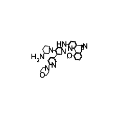 COc1cccc(F)c1-c1nc(Nc2cc(N3CCC[C@H](N)C3)c(-c3ccc(N4CCOCC4)nc3)cn2)ccc1C#N